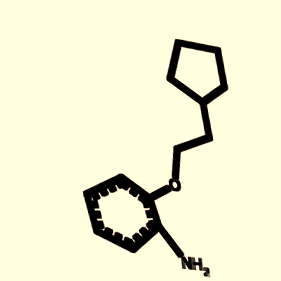 Nc1ccccc1OCCC1CCCC1